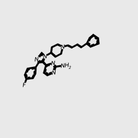 Nc1nccc(-c2c(-c3ccc(F)cc3)ncn2C2CCN(CCCCc3ccccc3)CC2)n1